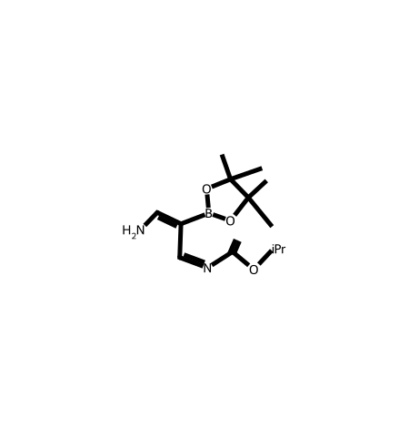 C=C(/N=C\C(=C/N)B1OC(C)(C)C(C)(C)O1)OC(C)C